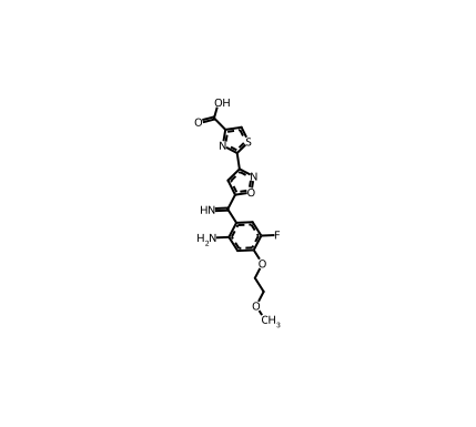 COCCOc1cc(N)c(C(=N)c2cc(-c3nc(C(=O)O)cs3)no2)cc1F